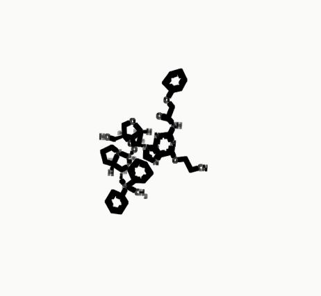 C[Si](C[C@H]1O[P@](OC2[C@@H]3OC[C@@]2(CO)O[C@H]3n2cnc3c(OCCC#N)nc(NC(=O)COc4ccccc4)nc32)N2CCC[C@@H]12)(c1ccccc1)c1ccccc1